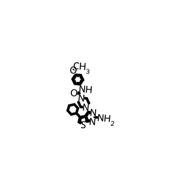 COc1ccc(NC(=O)N2CCN(c3nc(N)nc4scc(C5CCCCC5)c34)CC2)cc1